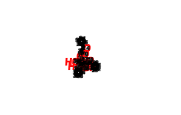 O=C(CC(=O)c1ccccc1)O[C@@H]1O[C@H](C(O)C(=O)c2ccccc2)[C@](O)(C(=O)c2ccccc2)[C@H]1O